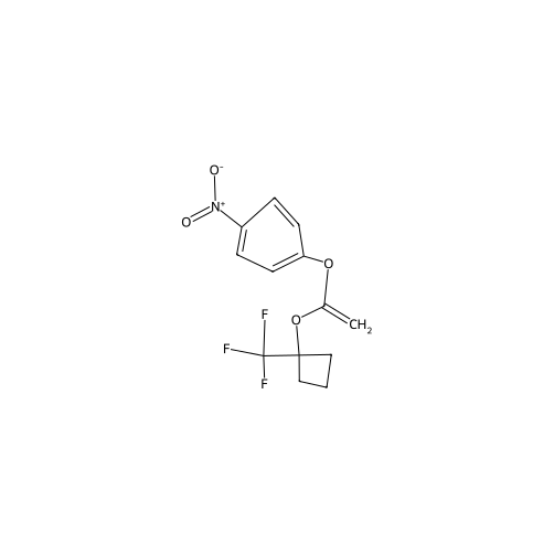 C=C(Oc1ccc([N+](=O)[O-])cc1)OC1(C(F)(F)F)CCC1